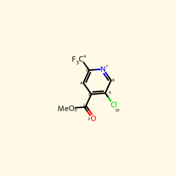 COC(=O)c1cc(C(F)(F)F)ncc1Cl